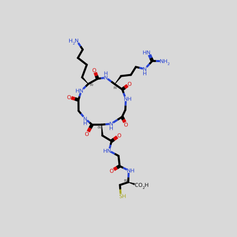 N=C(N)NCCC[C@@H]1NC(=O)[C@H](CCCCN)NC(=O)CNC(=O)[C@H](CC(=O)NCC(=O)N[C@H](CS)C(=O)O)NC(=O)CNC1=O